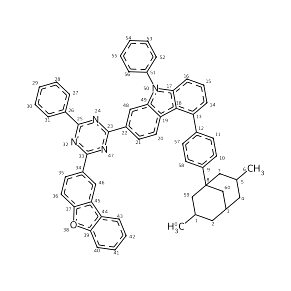 CC1CC2CC(C)CC(c3ccc(-c4cccc5c4c4ccc(-c6nc(-c7ccccc7)nc(-c7ccc8oc9ccccc9c8c7)n6)cc4n5-c4ccccc4)cc3)(C1)C2